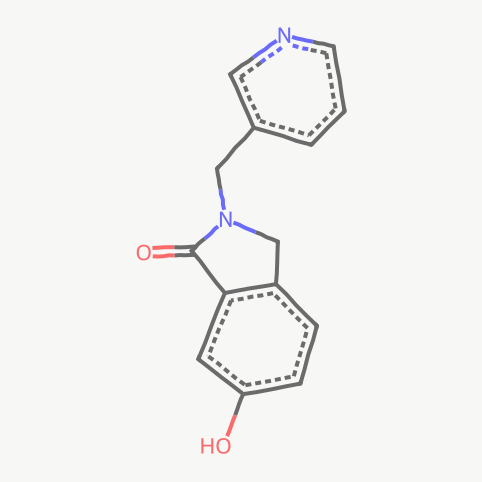 O=C1c2cc(O)ccc2CN1Cc1cccnc1